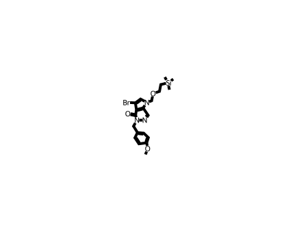 COc1ccc(Cn2ncc3c(c(Br)cn3COCC[Si](C)(C)C)c2=O)cc1